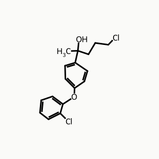 CC(O)(CCCCl)c1ccc(Oc2ccccc2Cl)cc1